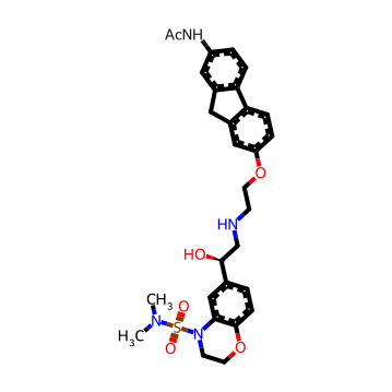 CC(=O)Nc1ccc2c(c1)Cc1cc(OCCNC[C@H](O)c3ccc4c(c3)N(S(=O)(=O)N(C)C)CCO4)ccc1-2